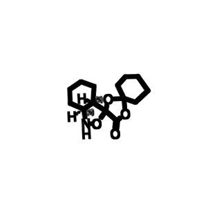 O=C1OC2(CCCCC2)OC12ON[C@H]1CCCC[C@@H]12